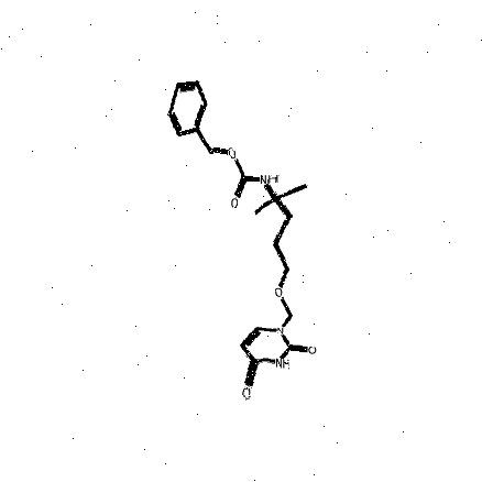 CC(C)(CCCOCn1ccc(=O)[nH]c1=O)NC(=O)OCc1ccccc1